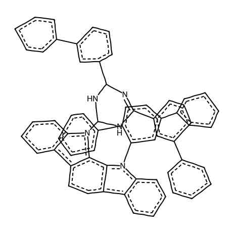 c1ccc(-c2cccc(C3=NC(c4cccc(-c5ccccc5)c4)NC(n4c5ccccc5c5ccc6c7ccccc7n(-c7cc(-c8ccccc8)ccc7-c7ccccc7)c6c54)N3)c2)cc1